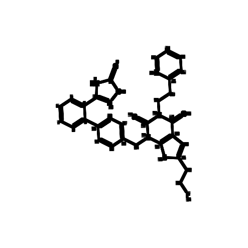 O=c1[nH]c(-c2ccccc2-c2ccc(Cn3c(=O)n(CCc4ccccn4)c(=O)c4cc(CCF)sc43)cc2)no1